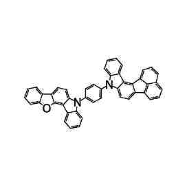 c1cc2c3c(cccc3c1)-c1c-2ccc2c1c1ccccc1n2-c1ccc(-n2c3ccccc3c3c4oc5ccccc5c4ccc32)cc1